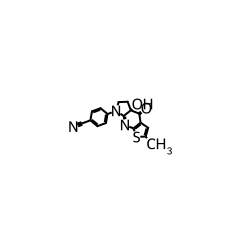 Cc1cc2c(s1)N=C1N(c3ccc(C#N)cc3)CCC1(O)C2=O